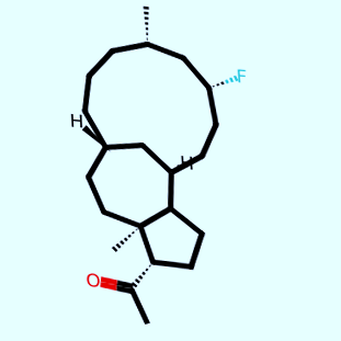 CC(=O)[C@H]1CCC2[C@@H]3CC[C@@H](F)C[C@@H](C)CCC[C@@H](CC[C@@]21C)C3